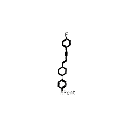 CCCCCc1ccc([C@H]2CC[C@H](C=CC#Cc3ccc(F)cc3)CC2)cc1